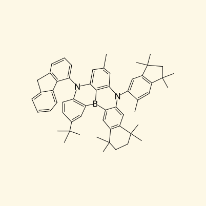 Cc1cc2c3c(c1)N(c1cccc4c1-c1ccccc1C4)c1ccc(C(C)(C)C)cc1B3c1cc3c(cc1N2c1cc2c(cc1C)C(C)(C)CC2(C)C)C(C)(C)CCC3(C)C